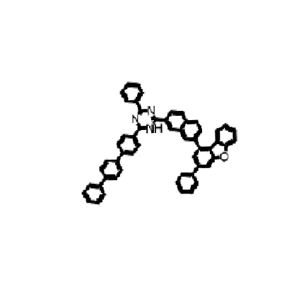 c1ccc(C2=NC(c3ccc(-c4ccc(-c5ccccc5)cc4)cc3)NC(c3ccc4ccc(-c5cc(-c6ccccc6)cc6oc7ccccc7c56)cc4c3)=N2)cc1